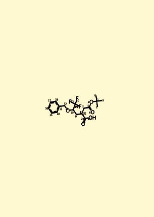 CC(C)(C)OC(=O)C[C@H](CC(OCc1ccccc1)C(F)(F)F)C(=O)O